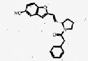 N#Cc1ccc2oc(C=C[C@@H]3CCCN3C(=O)Cc3ccccc3)cc2c1